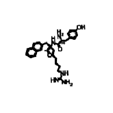 N=C(N)NCCCCCC[C@@]([C]=O)(Cc1ccc2ccccc2c1)NC(=O)[C@@H](N)Cc1ccc(O)cc1